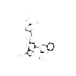 CC(C)c1cnn2c(N(Cc3ccccc3)C(=O)OC(C)(C)C)cc(NCC3COC(C)(C)O3)nc12